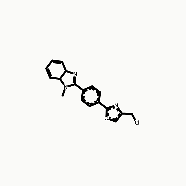 CN1C(c2ccc(-c3nc(CCl)co3)cc2)=NC2C=CC=CC21